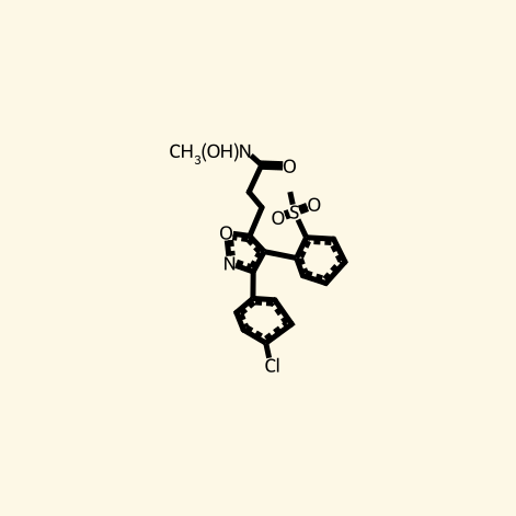 CN(O)C(=O)CCc1onc(-c2ccc(Cl)cc2)c1-c1ccccc1S(C)(=O)=O